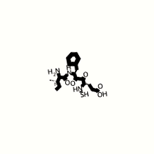 CC[C@H](C)C(N)C(=O)N[C@@H](Cc1ccccc1)C(=O)C(=O)[C@H](CCC(=O)O)NS